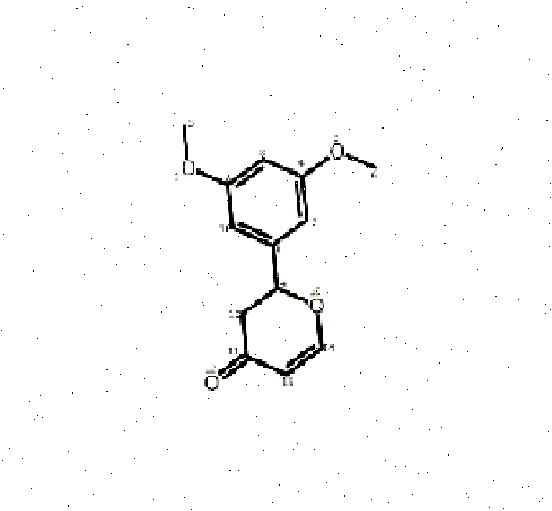 COc1cc(OC)cc(C2CC(=O)C=CO2)c1